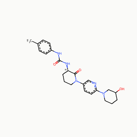 O=C(Nc1ccc(C(F)(F)F)cc1)N[C@@H]1CCCN(c2ccc(N3CCCC(O)C3)nc2)C1=O